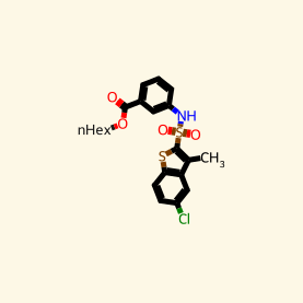 CCCCCCOC(=O)c1cccc(NS(=O)(=O)c2sc3ccc(Cl)cc3c2C)c1